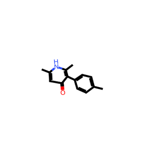 Cc1ccc(-c2c(C)[nH]c(C)cc2=O)cc1